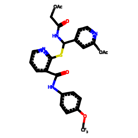 CC(=O)OCC(=O)NC(Sc1ncccc1C(=O)Nc1ccc(OC(F)(F)F)cc1)c1ccnc(OC(C)=O)c1